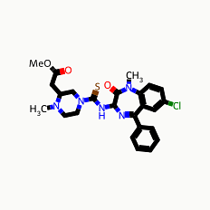 COC(=O)CC1CN(C(=S)NC2N=C(c3ccccc3)c3cc(Cl)ccc3N(C)C2=O)CCN1C